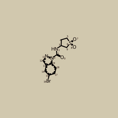 O=C(NC1CCS(=O)(=O)C1)n1ncc2cc(Br)ccc21